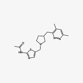 CC(=O)Nc1ncc(CN2CCC(Cc3nnc(C)cc3C)C2)s1